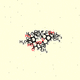 CC(C)(CC(Cc1cc(C(C)(C)C)c(O)c(C(C)(C)C)c1)C(=O)O)CC(Cc1cc(C(C)(C)C)c(O)c(C(C)(C)C)c1)C(=O)O